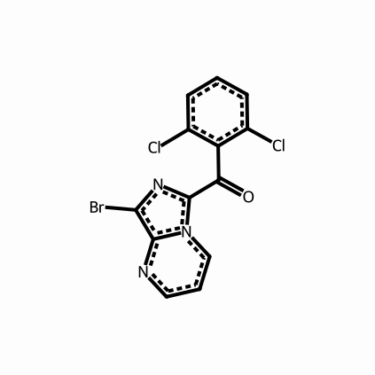 O=C(c1c(Cl)cccc1Cl)c1nc(Br)c2ncccn12